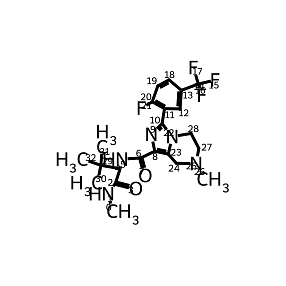 CNC(=O)C(NC(=O)c1nc(-c2cc(C(F)(F)F)ccc2F)n2c1CN(C)CC2)C(C)(C)C